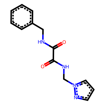 O=C(NCc1ccccc1)C(=O)NCn1cccn1